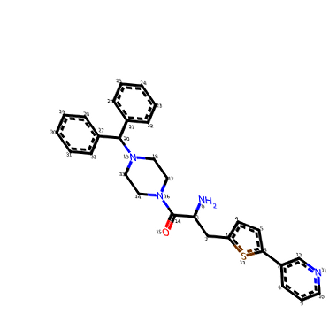 NC(Cc1ccc(-c2cccnc2)s1)C(=O)N1CCN(C(c2ccccc2)c2ccccc2)CC1